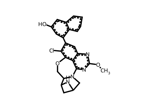 COc1nc2c3c(c(Cl)c(-c4cc(O)cc5ccccc45)cc3n1)OCC1C3CC(CN21)N3